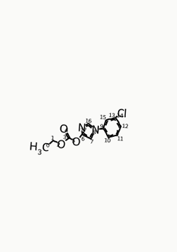 CCOC(=O)Oc1cn(-c2cccc(Cl)c2)cn1